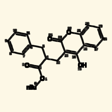 CCCCOC(=O)C(Cc1ccccc1)Cc1c(O)c2ccccc2oc1=O